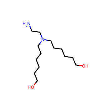 NCCN(CCCCCCO)CCCCCCO